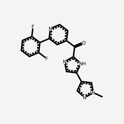 Cn1cc(-c2cnc(C(=O)c3ccnc(-c4c(F)cccc4F)c3)[nH]2)cn1